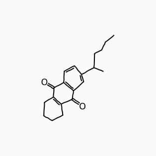 CCCCC(C)c1ccc2c(c1)C(=O)C1=C(CCCC1)C2=O